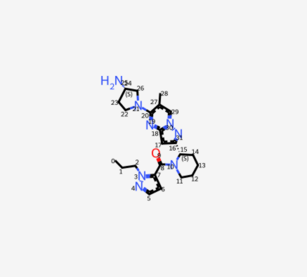 CCCn1nccc1C(=O)N1CCCC[C@H]1c1cc2nc(N3CC[C@H](N)C3)c(C)cn2n1